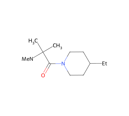 CCC1CCN(C(=O)C(C)(C)NC)CC1